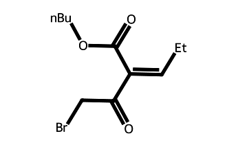 CC/C=C(/C(=O)CBr)C(=O)OCCCC